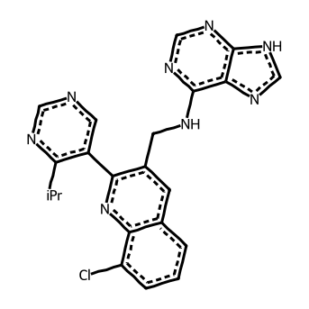 CC(C)c1ncncc1-c1nc2c(Cl)cccc2cc1CNc1ncnc2[nH]cnc12